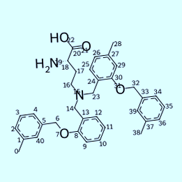 Cc1cccc(COc2ccccc2CN(CC[C@H](N)C(=O)O)Cc2ccc(C)cc2OCc2cccc(C)c2)c1